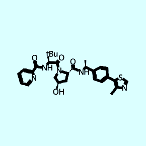 Cc1ncsc1-c1ccc([C@H](C)NC(=O)[C@@H]2C[C@@H](O)CN2C(=O)[C@@H](NC(=O)c2ccccn2)C(C)(C)C)cc1